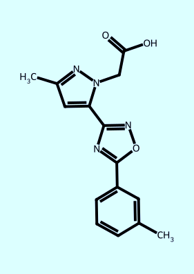 Cc1cccc(-c2nc(-c3cc(C)nn3CC(=O)O)no2)c1